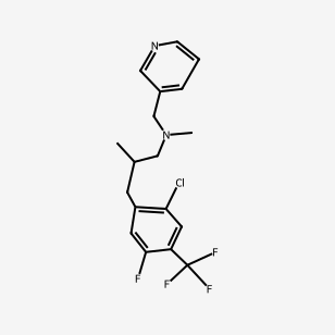 CC(Cc1cc(F)c(C(F)(F)F)cc1Cl)CN(C)Cc1cccnc1